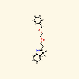 CC1(C)C(CCOCCOCc2ccccc2)=Nc2ccccc21